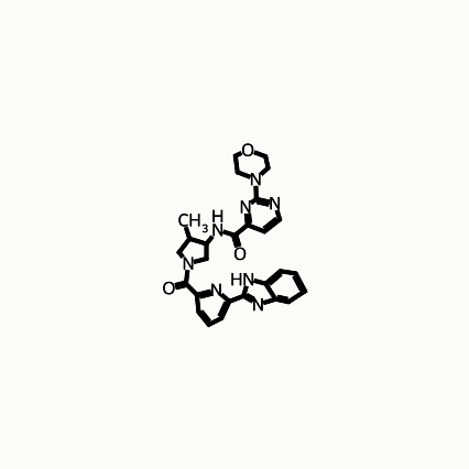 CC1CN(C(=O)c2cccc(-c3nc4ccccc4[nH]3)n2)CC1NC(=O)c1ccnc(N2CCOCC2)n1